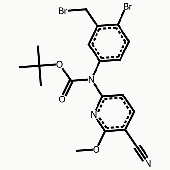 COc1nc(N(C(=O)OC(C)(C)C)c2ccc(Br)c(CBr)c2)ccc1C#N